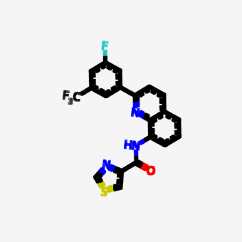 O=C(Nc1cccc2ccc(-c3cc(F)cc(C(F)(F)F)c3)nc12)c1cscn1